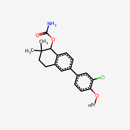 CCCOc1ccc(-c2ccc3c(c2)CCC(C)(C)C3OC(N)=O)cc1Cl